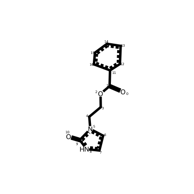 O=C(OCCn1cc[nH]c1=O)c1ccccc1